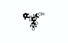 Cc1cccc(C)c1CNc1cc(-c2cn(C)c(=O)n(C)c2=O)cn2c(C)c(C)nc12.Cl